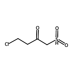 O=C(CCCl)C[SH](=O)=O